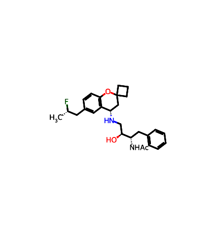 CC(=O)N[C@@H](Cc1ccccc1)[C@@H](O)CN[C@H]1CC2(CCC2)Oc2ccc(C[C@H](C)F)cc21